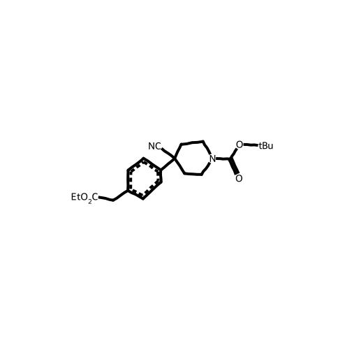 CCOC(=O)Cc1ccc(C2(C#N)CCN(C(=O)OC(C)(C)C)CC2)cc1